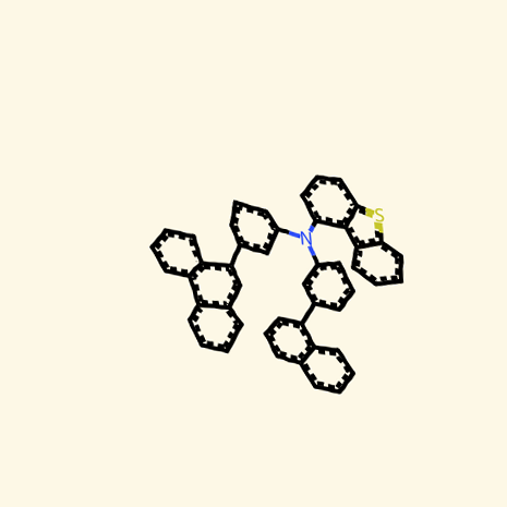 c1cc(-c2cccc3ccccc23)cc(N(c2cccc(-c3cc4ccccc4c4ccccc34)c2)c2cccc3sc4ccccc4c23)c1